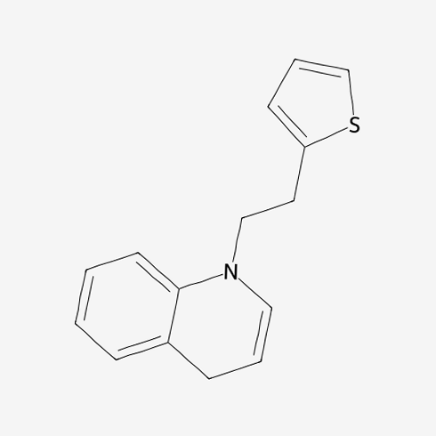 C1=CN(CCc2cccs2)c2ccccc2C1